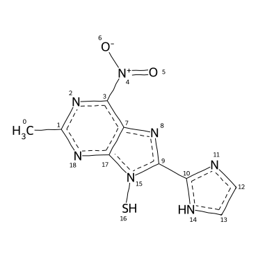 Cc1nc([N+](=O)[O-])c2nc(-c3ncc[nH]3)n(S)c2n1